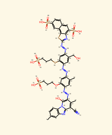 Cc1ccc2c(c1)nc1c(C#N)c(C)c(N=Nc3cc(C)c(N=Nc4cc(CO)c(N=Nc5nc6c(S(=O)(=O)O)cc7ccc(S(=O)(=O)O)cc7c6s5)cc4SCCCS(=O)(=O)O)cc3OCCCS(=O)(=O)O)c(O)n12